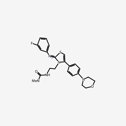 CNC(=O)NCCn1c(-c2ccc(N3CCOCC3)cc2)cs/c1=N\c1cccc(F)c1